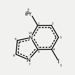 CC(C)c1ccc(I)c2nccn12